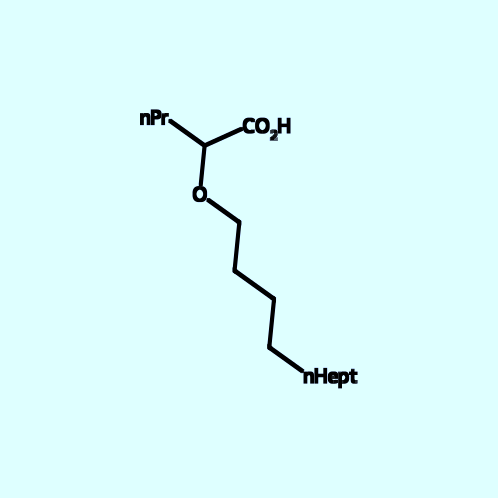 CCCCCCCCCCCOC(CCC)C(=O)O